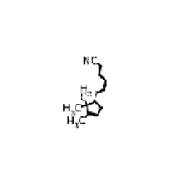 CC1=CC[C@@H](C/C=C\CCC#N)C1(C)C